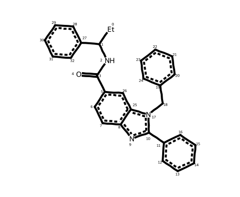 CCC(NC(=O)c1ccc2nc(-c3ccccc3)n(Cc3ccccc3)c2c1)c1ccccc1